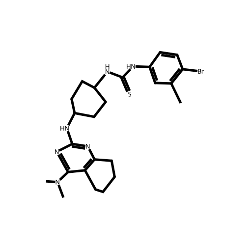 Cc1cc(NC(=S)NC2CCC(Nc3nc4c(c(N(C)C)n3)CCCC4)CC2)ccc1Br